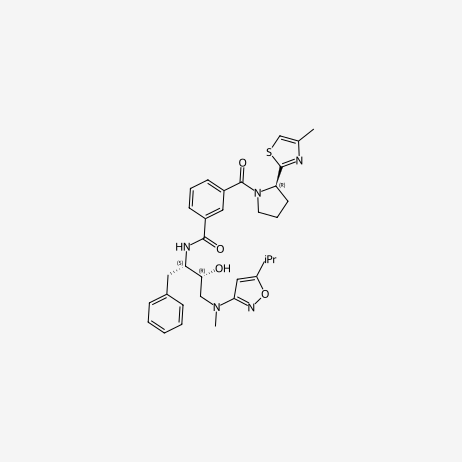 Cc1csc([C@H]2CCCN2C(=O)c2cccc(C(=O)N[C@@H](Cc3ccccc3)[C@H](O)CN(C)c3cc(C(C)C)on3)c2)n1